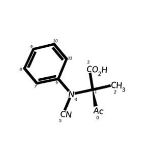 CC(=O)[C@](C)(C(=O)O)N(C#N)c1ccccc1